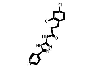 O=C(CCc1ccc(Cl)cc1Cl)Nc1nnc(-c2ccncc2)[nH]1